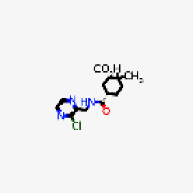 C[C@]1(C(=O)O)CC[C@H](C(=O)NCc2nccnc2Cl)CC1